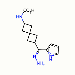 N/N=C(\c1ccc[nH]1)C1CC2(CC(NC(=O)O)C2)C1